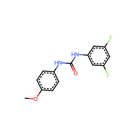 COc1ccc(NC(=O)Nc2cc(F)cc(F)c2)cc1